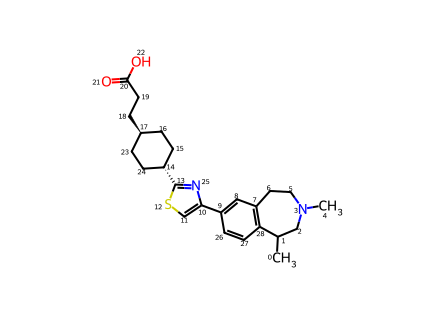 CC1CN(C)CCc2cc(-c3csc([C@H]4CC[C@H](CCC(=O)O)CC4)n3)ccc21